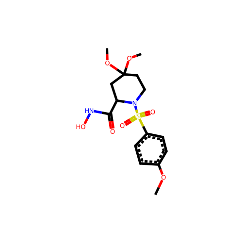 COc1ccc(S(=O)(=O)N2CCC(OC)(OC)CC2C(=O)NO)cc1